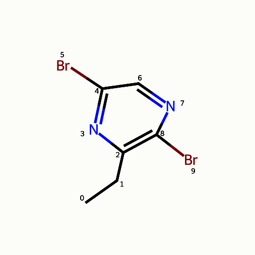 CCc1nc(Br)cnc1Br